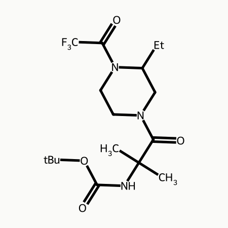 CCC1CN(C(=O)C(C)(C)NC(=O)OC(C)(C)C)CCN1C(=O)C(F)(F)F